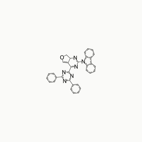 C1=C2C(c3nc(-c4ccccc4)nc(-c4ccccc4)n3)=NC(n3c4ccccc4c4ccccc43)=NC2CO1